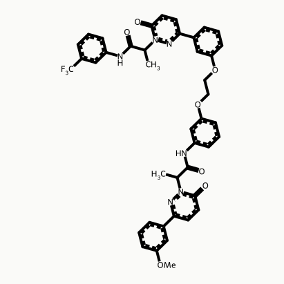 COc1cccc(-c2ccc(=O)n(C(C)C(=O)Nc3cccc(OCCOc4cccc(-c5ccc(=O)n(C(C)C(=O)Nc6cccc(C(F)(F)F)c6)n5)c4)c3)n2)c1